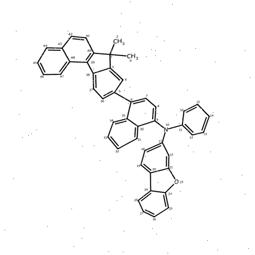 CC1(C)c2cc(-c3ccc(N(c4ccccc4)c4ccc5c(c4)oc4ccccc45)c4ccccc34)ccc2-c2c1ccc1ccccc21